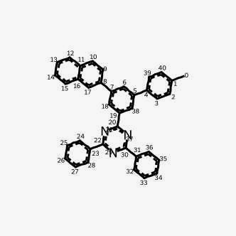 Cc1ccc(-c2cc(-c3ccc4ccccc4c3)cc(-c3nc(-c4ccccc4)nc(-c4ccccc4)n3)c2)cc1